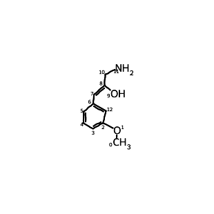 COc1cccc(C=C(O)CN)c1